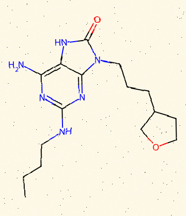 CCCCNc1nc(N)c2[nH]c(=O)n(CCCC3CCOC3)c2n1